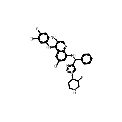 N#Cc1cnc2c(N[C@@H](c3ccccc3)c3cn([C@@H]4CCNC[C@@H]4F)nn3)cc(Cl)cc2c1Nc1ccc(F)c(Cl)c1